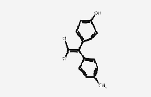 Cc1ccc(C(=C(Cl)Cl)c2ccc(O)cc2)cc1